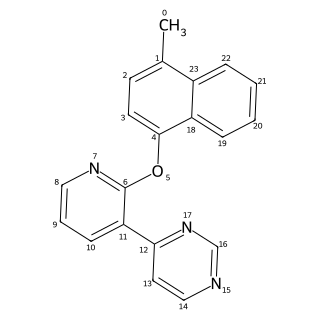 Cc1ccc(Oc2ncccc2-c2ccncn2)c2ccccc12